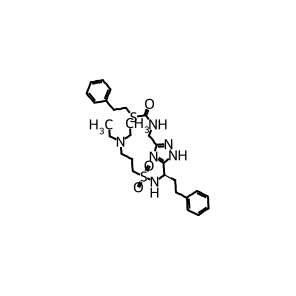 CCN(CC)CCCS(=O)(=O)N[C@H](CCc1ccccc1)c1nc(CNC(=O)SCCc2ccccc2)n[nH]1